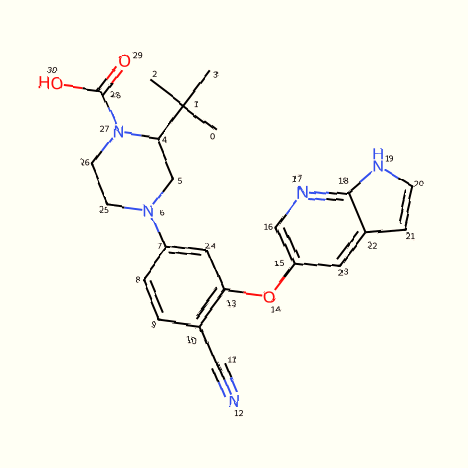 CC(C)(C)C1CN(c2ccc(C#N)c(Oc3cnc4[nH]ccc4c3)c2)CCN1C(=O)O